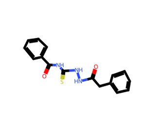 O=C(Cc1ccccc1)NNC(=S)NC(=O)c1ccccc1